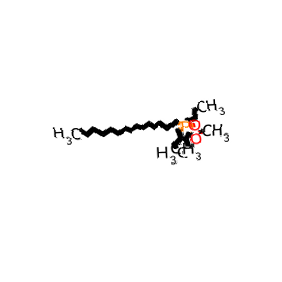 CCCCCCCCCCCCCCCCP(CCCC)(CCCC)(CCCC)OC(C)=O